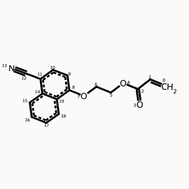 C=CC(=O)OCCOc1ccc(C#N)c2ccccc12